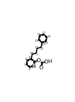 O=C(O)Oc1ncccc1CCCCc1ccccc1